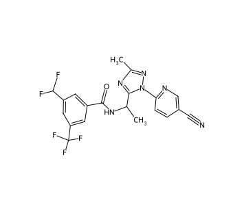 Cc1nc(C(C)NC(=O)c2cc(C(F)F)cc(C(F)(F)F)c2)n(-c2ccc(C#N)cn2)n1